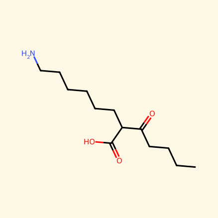 CCCCC(=O)C(CCCCCCN)C(=O)O